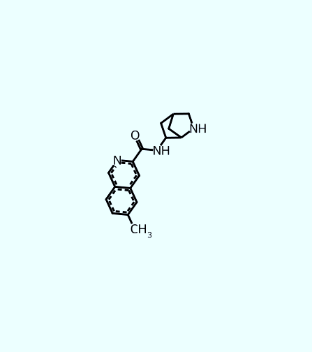 Cc1ccc2cnc(C(=O)NC3CC4CNC3C4)cc2c1